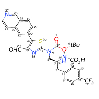 CC(C)(C)OC(=O)N(C[C@H](Cc1ccc(C(F)(F)F)cc1)NC(=O)O)c1nc(C=O)c(-c2ccc3cnccc3c2)s1